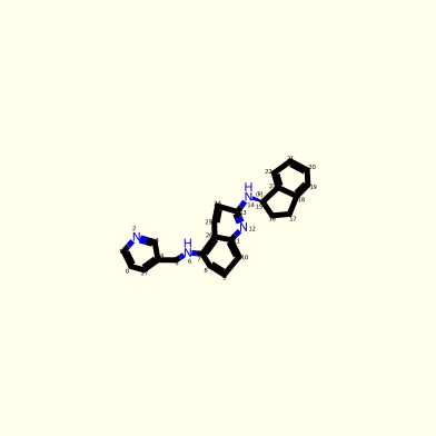 c1cncc(CNc2cccc3nc(N[C@@H]4CCc5ccccc54)ccc23)c1